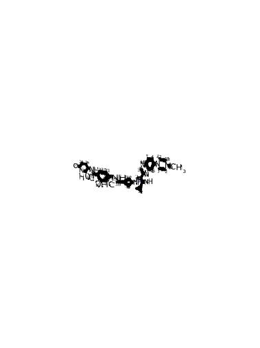 CN1CCN(c2ccc3ncc(/C(=C/NC4CC(CNc5ccc(C(=O)NC6CCC(=O)NC6=O)c(C=O)c5)C4)C(=N)C4CC4)nc3c2)CC1